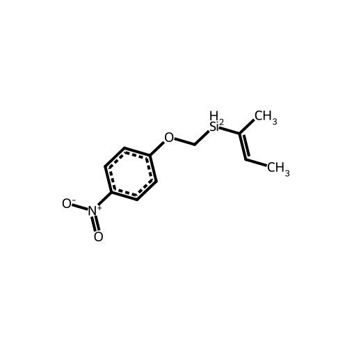 CC=C(C)[SiH2]COc1ccc([N+](=O)[O-])cc1